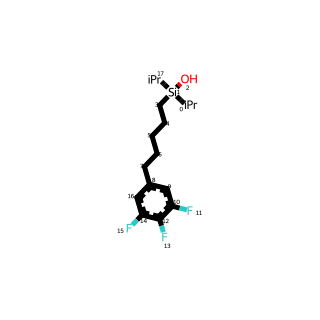 CC(C)[Si](O)(CCCCCc1cc(F)c(F)c(F)c1)C(C)C